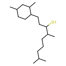 CC(C)CCCC(C)C(S)CCC1CCC(C)CC1C